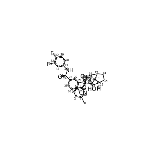 Cc1cccc(C(O)C(O)[C@@]2(O)C3CC[C@H]2C[C@H](S(=O)(=O)c2cc(C(=O)Nc4ccc(F)c(F)c4)ccc2Cl)C3)n1